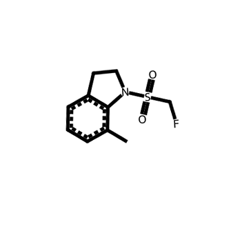 Cc1cccc2c1N(S(=O)(=O)CF)CC2